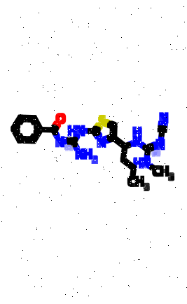 CCCC(N/C(=N\C#N)NC)c1csc(N/C(N)=N\C(=O)c2ccccc2)n1